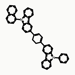 C1=C(c2ccc3c(c2)c2ccccc2n3-c2ccccc2)CCC(c2ccc3c(c2)c2ccccc2n3-c2cccc3ccccc23)=C1